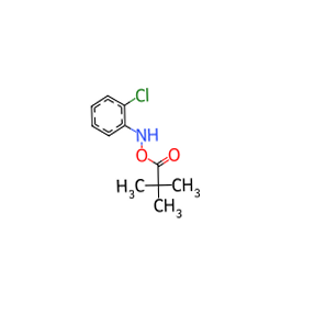 CC(C)(C)C(=O)ONc1ccccc1Cl